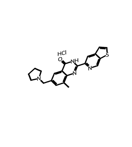 Cc1cc(CN2CCCC2)cc2c(=O)[nH]c(-c3cc4ccsc4cn3)nc12.Cl